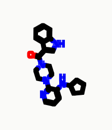 O=C(c1c[nH]c2ccccc12)N1CCN(c2ncccc2NC2CCCC2)CC1